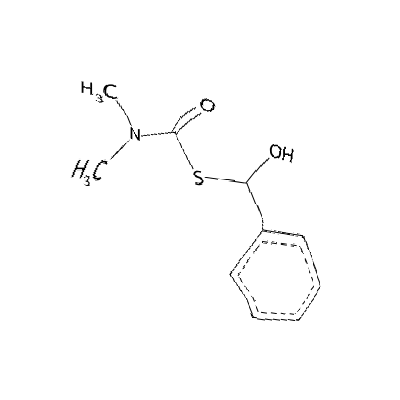 CN(C)C(=O)SC(O)c1ccccc1